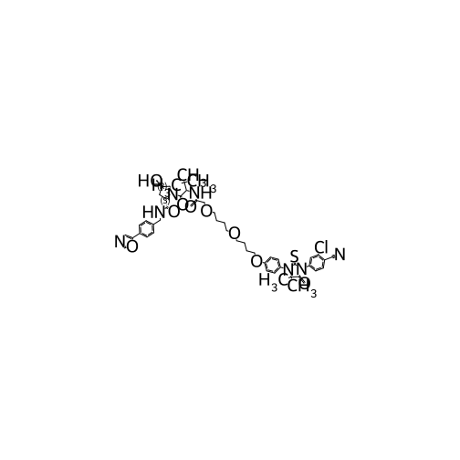 CC(C)(C)C(NC(=O)COCCCCOCCCCOc1ccc(N2C(=S)N(c3ccc(C#N)c(Cl)c3)C(=O)C2(C)C)cc1)C(=O)N1C[C@H](O)C[C@H]1C(=O)NCc1ccc(-c2cnco2)cc1